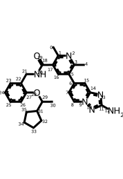 Cc1nc(C)c(-c2ccn3nc(N)nc3c2)cc1C(=O)NCc1ccccc1OC(C)C1CCCC1